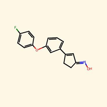 ON=C1C=C(c2cccc(Oc3ccc(F)cc3)c2)CC1